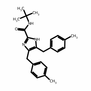 Cc1ccc(Cc2nc(C(=O)NC(C)(C)C)[nH]c2Cc2ccc(C)cc2)cc1